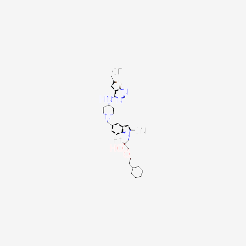 CCC(O)(COCCC1CCCCC1)Cn1c(C#N)cc2cc(CN3CCC(Nc4ncnc5sc(CC(F)(F)F)cc45)CC3)ccc21